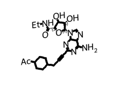 CCNC(=O)[C@H]1O[C@@H](N2C=NC3C(N)=NC(C#CCC4CCC(C(C)=O)CC4)=NC32)[C@@H](O)C1O